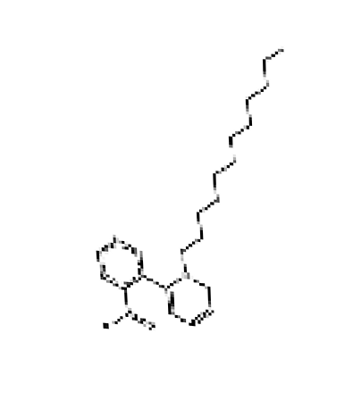 CCCCCCCCCCCCN1CC=CC=C1c1cnccc1C(=O)O